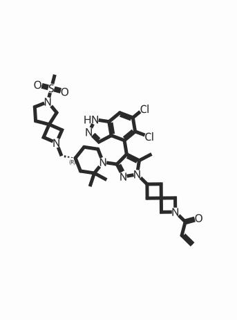 C=CC(=O)N1CC2(CC(n3nc(N4CC[C@@H](CN5CC6(CCN(S(C)(=O)=O)C6)C5)CC4(C)C)c(-c4c(Cl)c(Cl)cc5[nH]ncc45)c3C)C2)C1